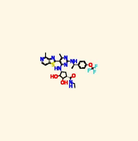 CCNC(=O)[C@H]1C[C@@H](Nc2nc(N[C@H](C)c3ccc(OC(F)(F)F)cc3)nc(C)c2-c2nc3c(C)nccc3s2)[C@H](O)[C@@H]1O